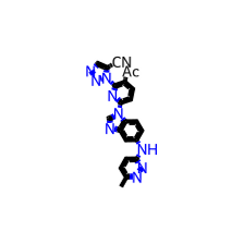 CC(=O)c1ccc(-n2cnc3cc(Nc4ccc(C)nn4)ccc32)nc1-n1nncc1C#N